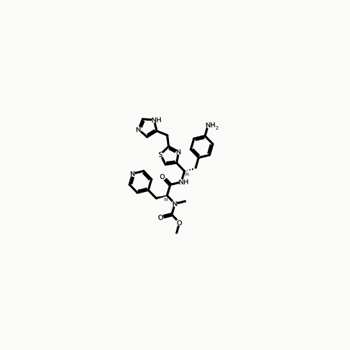 COC(=O)N(C)[C@@H](Cc1ccncc1)C(=O)N[C@@H](Cc1ccc(N)cc1)c1csc(Cc2cnc[nH]2)n1